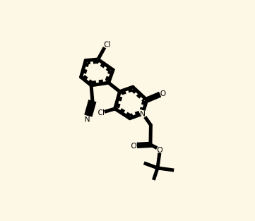 CC(C)(C)OC(=O)Cn1cc(Cl)c(-c2cc(Cl)ccc2C#N)cc1=O